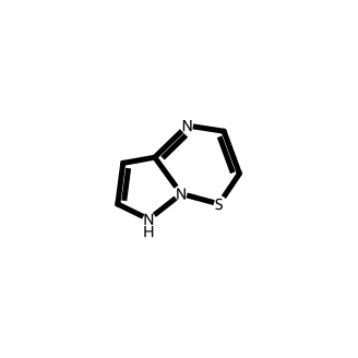 C1=CSN2NC=CC2=N1